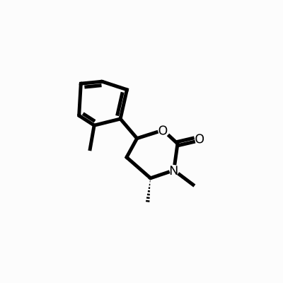 Cc1ccccc1C1C[C@@H](C)N(C)C(=O)O1